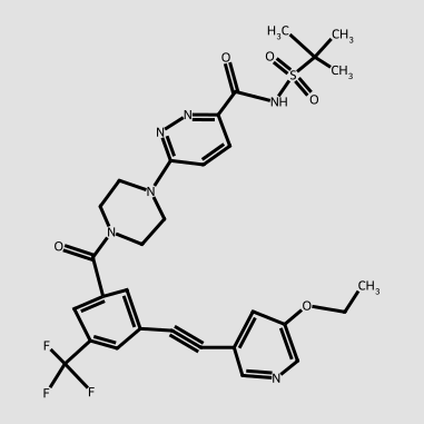 CCOc1cncc(C#Cc2cc(C(=O)N3CCN(c4ccc(C(=O)NS(=O)(=O)C(C)(C)C)nn4)CC3)cc(C(F)(F)F)c2)c1